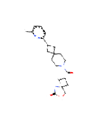 CC(C)(C)c1cccc(C2CC3(CCN(C(=O)[C@H]4C[C@]5(COC(=O)N5)C4)CC3)C2)n1